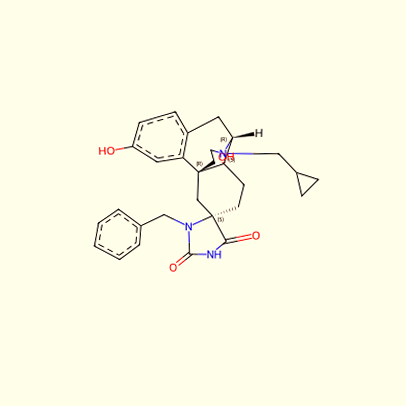 O=C1NC(=O)[C@@]2(CC[C@@]3(O)[C@H]4Cc5ccc(O)cc5[C@@]3(CCN4CC3CC3)C2)N1Cc1ccccc1